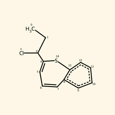 CCC(Cl)C1=CC=Cc2ccccc2S1